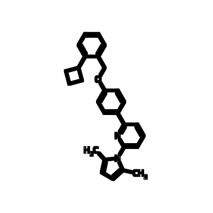 Cc1ccc(C)n1-c1cccc(-c2ccc(OCc3ccccc3C3CCC3)cc2)n1